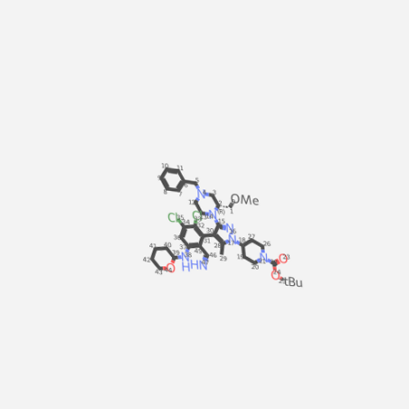 COC[C@H]1CN(Cc2ccccc2)CCN1c1nn(C2CCN(C(=O)OC(C)(C)C)CC2)c(C)c1-c1c(Cl)c(Cl)cc(NC2CCCCO2)c1C=N